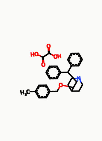 Cc1ccc(COC2C3CCN(CC3)C2C(c2ccccc2)c2ccccc2)cc1.O=C(O)C(=O)O